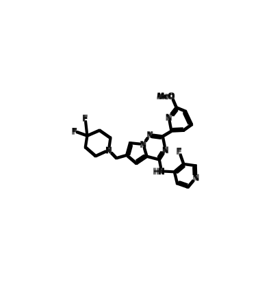 COc1cccc(-c2nc(Nc3ccncc3F)c3cc(CN4CCC(F)(F)CC4)cn3n2)n1